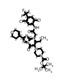 CCc1c(N2CCN(C(=O)OC(C)(C)C)CC2)c(=O)n2nc(C3=CCOCC3)nc2n1CC(=O)Nc1cc(Cl)c(C(F)(F)F)cc1Cl